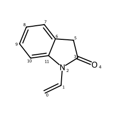 C=CN1C(=O)Cc2ccccc21